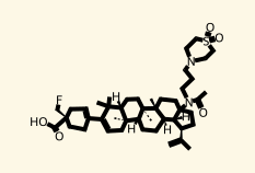 C=C(C)[C@@H]1CCC2(N(CCCN3CCS(=O)(=O)CC3)C(C)=O)CC[C@]3(C)[C@H](CC[C@@H]4[C@@]5(C)CC=C(C6=CC[C@@](CF)(C(=O)O)CC6)C(C)(C)[C@@H]5CC[C@]43C)[C@@H]12